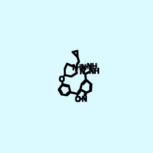 c1cc(OC2CCN(CC3CC3)CC2)cc(-c2onc3ccc(C4=NNNN4)cc23)c1